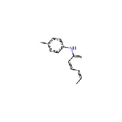 C=C(/C=C\C=C/C)Nc1ccc(C)cc1